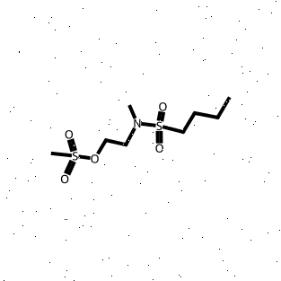 CCCCS(=O)(=O)N(C)CCOS(C)(=O)=O